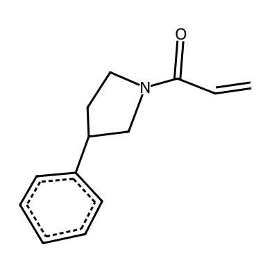 C=CC(=O)N1CCC(c2ccccc2)C1